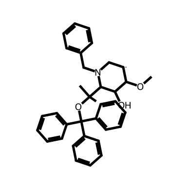 COC1[CH]CN(Cc2ccccc2)C(C(C)(C)OC(c2ccccc2)(c2ccccc2)c2ccccc2)C1O